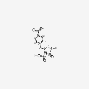 CC1C[C@H](Cc2ccc([N+](=O)[O-])cc2)N(C(=O)O)C1=O